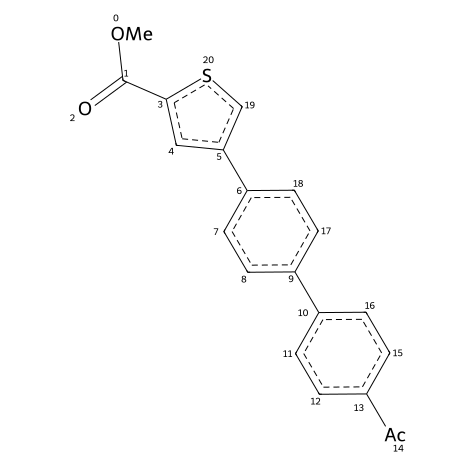 COC(=O)c1cc(-c2ccc(-c3ccc(C(C)=O)cc3)cc2)cs1